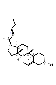 CC/C=C/[C@@H](C)[C@H]1CC[C@H]2[C@@H]3CC=C4C[C@@H](O)CC[C@]4(C)[C@H]3CC[C@]12C